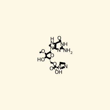 COC1C(O)[C@@H](COP(=O)(O)n2ccnc2)O[C@H]1N1CNc2c1nc(N)[nH]c2=O